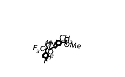 COC(=O)c1cc2cc(C(=O)NC(c3ccc(F)c(F)c3)C(F)(F)F)[nH]c2cc1C